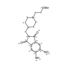 COCCN1CCC(CN2C(=O)c3cc(N)c([N+](=O)[O-])cc3C2=O)CC1